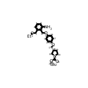 CCOCc1cccc(N)c1COc1ccc(OC[C@@H]2CCN(C(=O)OC(C)(C)C)C2)cc1